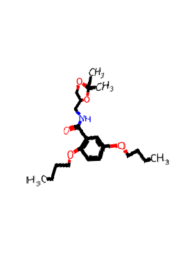 CCCCOc1ccc(OCCCC)c(C(=O)NCC2COC(C)(C)O2)c1